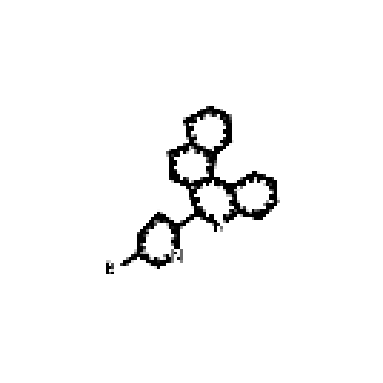 Brc1ccc(-c2nc3ccccc3c3c2ccc2ccccc23)nc1